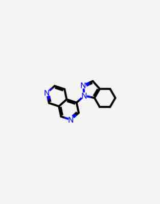 c1cc2c(-n3ncc4c3CCCC4)cncc2cn1